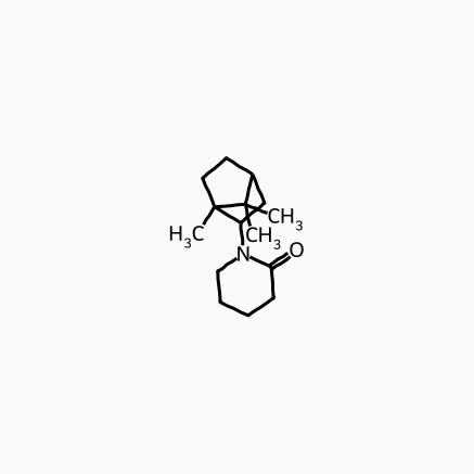 CC1(C)C2CCC1(C)C(N1CCCCC1=O)C2